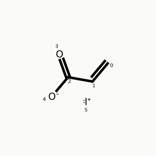 C=CC(=O)[O-].[I+]